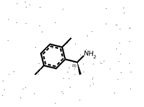 Cc1ccc(C)c([C@H](C)N)c1